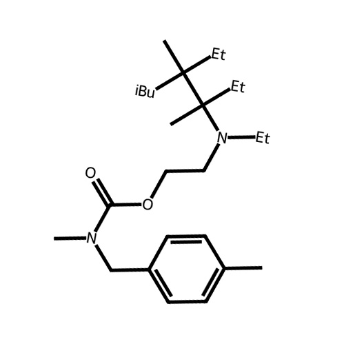 CCC(C)C(C)(CC)C(C)(CC)N(CC)CCOC(=O)N(C)Cc1ccc(C)cc1